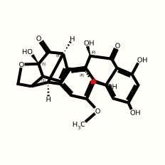 COc1cc([C@H]2C3CO[C@]4(O)C(=O)[C@H]2C([C@H]2Oc5cc(O)cc(O)c5C(=O)[C@@H]2O)=CC34)ccc1O